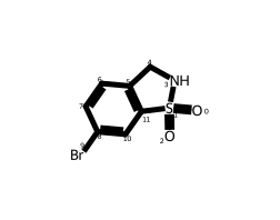 O=S1(=O)NCc2ccc(Br)cc21